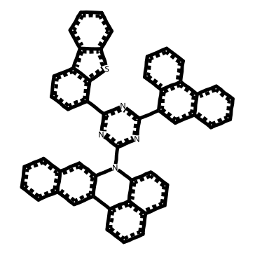 c1ccc2cc3c(cc2c1)-c1cccc2cccc(c12)N3c1nc(-c2cc3ccccc3c3ccccc23)nc(-c2cccc3c2sc2ccccc23)n1